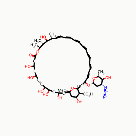 COC12CC(O)CC(O)C(O)CCC(O)CC(O)CC(=O)O[C@@H](C)[C@H](C)C(O)[C@@H](C)/C=C/C=C/C=C/C=C/C=C/C=C/C=C/C(O[C@H]3C[C@@H](N=[N+]=[N-])C(O)[C@@H](C)O3)C[C@H](O1)C(C(=O)O)[C@@H](O)C2